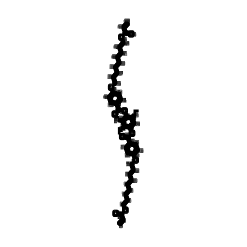 C=CC(=O)OCCCCCCCCCOc1ccc(C(=O)Oc2cc(F)c(OC(=O)c3ccc(OCCCCCCCCCOC(=O)C=C)cc3)c(F)c2F)cc1